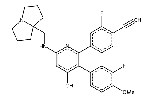 C#Cc1ccc(-c2nc(NCC34CCCN3CCC4)cc(O)c2-c2ccc(OC)c(F)c2)cc1F